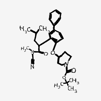 CC(C)CC(C(=O)N(C)C#N)c1cc(-c2ccccc2)ccc1OC1CCN(C(=O)OC(C)(C)C)C1